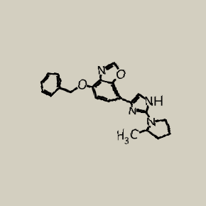 CC1CCCN1c1nc(-c2ccc(OCc3ccccc3)c3ncoc23)c[nH]1